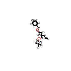 C=CCC1(CO[Si](C)(C)C(C)(C)C)CC(OCc2ccccc2)C1